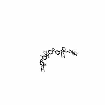 Cc1cc(N(C)C(=O)[C@H]2CC[C@H](Oc3cccc(CNC(=O)CCCN=[N+]=[N-])c3)CC2)ccc1CN1CCN[C@@H](C)C1